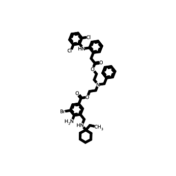 CCC1(NCc2cc(C(=O)OCCN(CCOC(=O)Cc3ccccc3Nc3c(Cl)cccc3Cl)Cc3ccccc3)cc(Br)c2N)CCCCC1